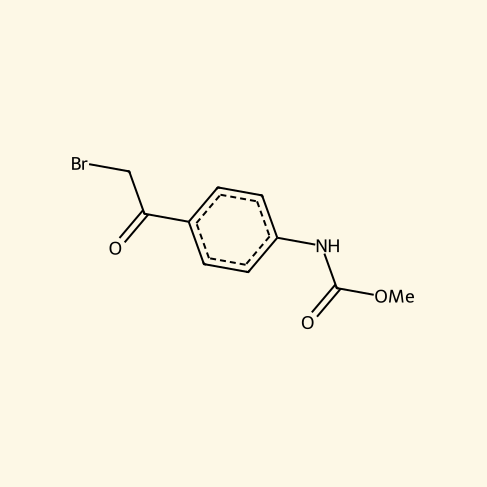 COC(=O)Nc1ccc(C(=O)CBr)cc1